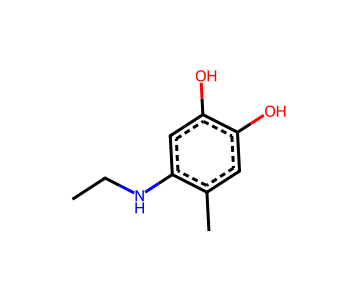 CCNc1cc(O)c(O)cc1C